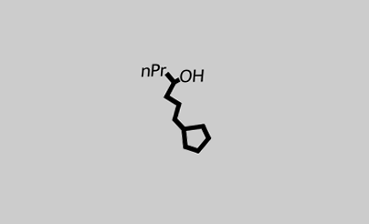 CCCC(O)CCCC1CCCC1